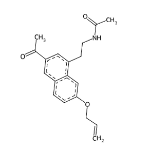 C=CCOc1ccc2cc(C(C)=O)cc(CCNC(C)=O)c2c1